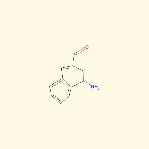 Nc1cc(C=O)cc2ccccc12